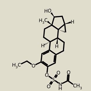 CCOc1cc2c(cc1OS(=O)(=O)NC(C)=O)CC[C@@H]1[C@@H]2CC[C@]2(C)[C@@H](O)C[C@@H]3C[C@]312